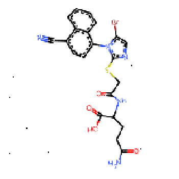 N#Cc1ccc(-n2c(Br)cnc2SCC(=O)NC(CCC(N)=O)C(=O)O)c2ccccc12